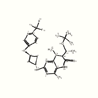 Cc1nc(N[C@H]2C[C@H](Oc3ccc(C(F)(F)F)nc3)C2)nc2c1NC(=O)C([C@@H](C)OC(C)(C)C)N2C